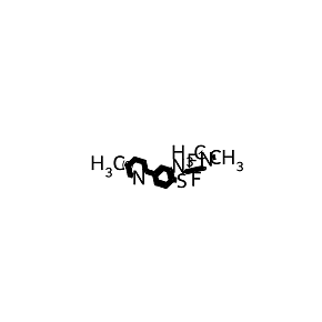 C[C@H]1CCC(c2ccc3sc(C(F)(F)CN(C)C)nc3c2)=NC1